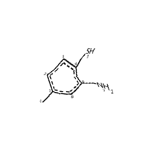 Cc1ccc(S)c(N)c1